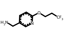 NCc1ccc(OCCC(F)(F)F)nc1